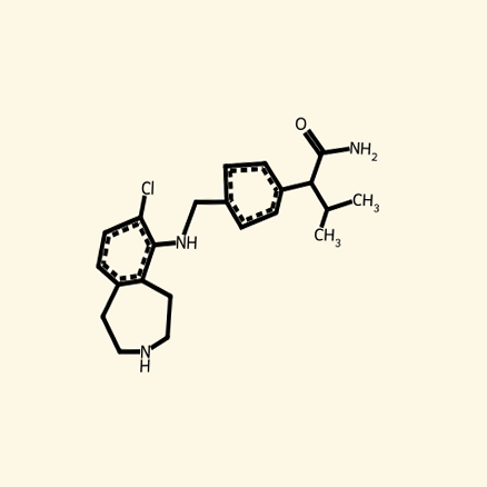 CC(C)C(C(N)=O)c1ccc(CNc2c(Cl)ccc3c2CCNCC3)cc1